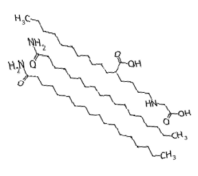 CCCCCCCCCCCC(CCCCNCC(=O)O)C(=O)O.CCCCCCCCCCCCCCCCCC(N)=O.CCCCCCCCCCCCCCCCCC(N)=O